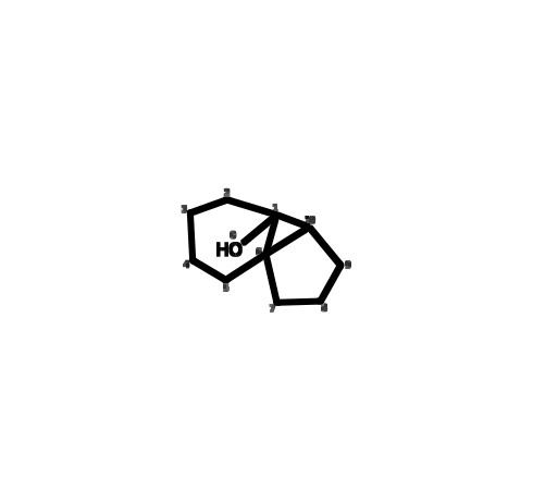 OC12CCCCC13CCCC23